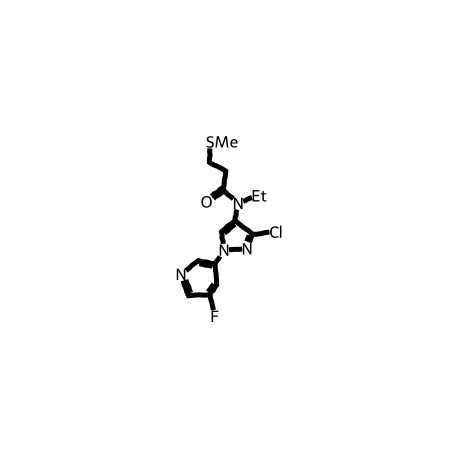 CCN(C(=O)CCSC)c1cn(-c2cncc(F)c2)nc1Cl